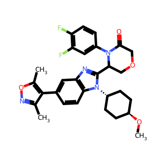 CO[C@H]1CC[C@H](n2c(C3COCC(=O)N3c3ccc(F)c(F)c3)nc3cc(-c4c(C)noc4C)ccc32)CC1